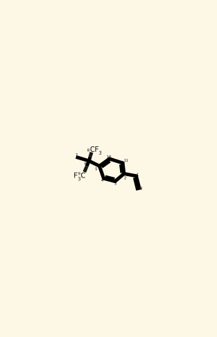 C=Cc1ccc(C(C)(C(F)(F)F)C(F)(F)F)cc1